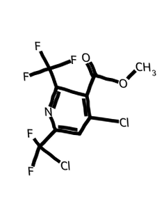 COC(=O)c1c(Cl)cc(C(F)(F)Cl)nc1C(F)(F)F